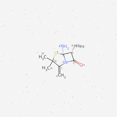 C=C1N2C(=O)[C@@H](CCCCCC)[C@]2(N)SC1(C)C